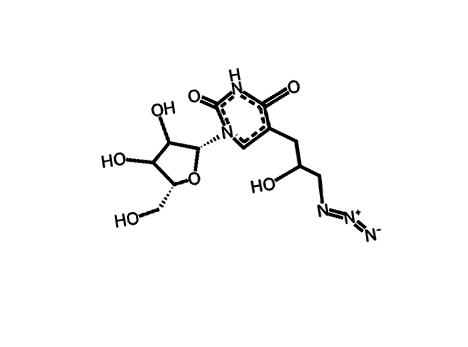 [N-]=[N+]=NCC(O)Cc1cn([C@@H]2O[C@H](CO)C(O)C2O)c(=O)[nH]c1=O